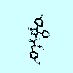 N[C@@H](Cc1ccc(O)cc1)C(=O)Nc1n[nH]c(-c2ccc(F)cc2)c1-c1ccncc1